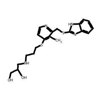 Cc1c(SCCCNCC(O)CO)ccnc1CSc1nc2ccccc2[nH]1